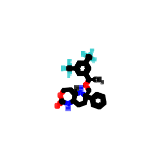 C[C@@H](OC[C@@]1(c2ccccc2)CCC2NC(=O)OCC[C@H]2N1)c1cc(C(F)(F)F)cc(C(F)(F)F)c1